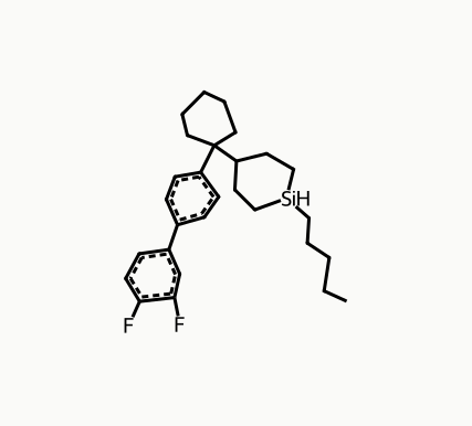 CCCCC[SiH]1CCC(C2(c3ccc(-c4ccc(F)c(F)c4)cc3)CCCCC2)CC1